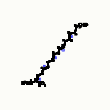 CCCCC/C(=C/C/C=C/C/C=C/C/C=C/C/C=C/CC[C]=O)[N+](=O)[O-]